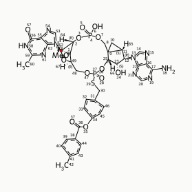 CO[C@H]1[C@H]2OP(=O)(O)OCC34C[C@@H]3[C@@H](n3cnc5c(N)ncnc53)[C@H](O)[C@@H]4OP(=O)(SCc3ccc(OC(=O)c4ccc(C)cc4)cc3)OC[C@H]1O[C@H]2n1cnc2c(=O)[nH]c(C)nc21